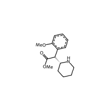 COC(=O)C(c1ccccc1OC)[C@H]1CCCCN1